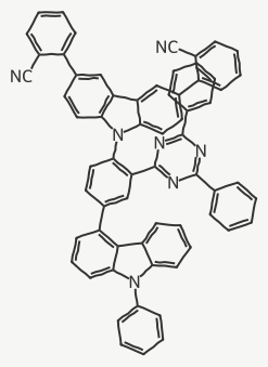 N#Cc1ccccc1-c1ccc2c(c1)c1cc(-c3ccccc3C#N)ccc1n2-c1ccc(-c2cccc3c2c2ccccc2n3-c2ccccc2)cc1-c1nc(-c2ccccc2)nc(-c2ccccc2)n1